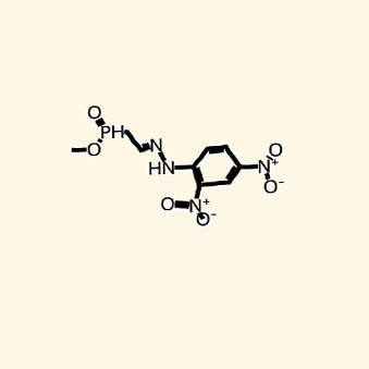 CO[PH](=O)CC=NNc1ccc([N+](=O)[O-])cc1[N+](=O)[O-]